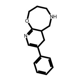 C1=C(c2ccccc2)CC2CNCCCOC2=N1